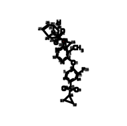 Cc1c(Oc2ccc(S(=O)(=O)C3CC3)cc2F)ncnc1OC1CC2C=C[C@@H](C1)N2S(=O)(=O)C1CC1